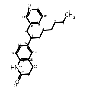 CCCCCCC(Cc1cccnc1)c1ccc2c(c1)CCC(=O)N2